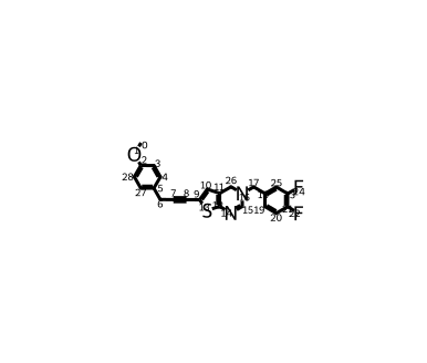 COc1ccc(CC#Cc2cc3c(s2)N=CN(Cc2ccc(F)c(F)c2)C3)cc1